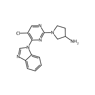 NC1CCN(c2ncc(Cl)c(-n3cnc4ccccc43)n2)C1